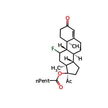 CCCCCC(=O)O[C@]1(C(C)=O)CC[C@H]2[C@@H]3CCC4=CC(=O)CC[C@]4(C)[C@H]3C(F)C[C@@]21C